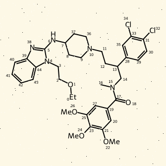 CCOCCn1c(NC2CCN(CCC(CN(C)C(=O)c3cc(OC)c(OC)c(OC)c3)c3ccc(Cl)c(Cl)c3)CC2)nc2ccccc21